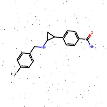 Cc1ccc(CNC2CC2c2ccc(C(N)=O)cc2)cc1